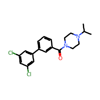 CC(C)N1CCN(C(=O)c2cccc(-c3cc(Cl)cc(Cl)c3)c2)CC1